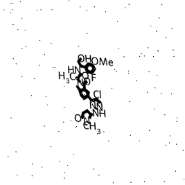 COc1cc(F)cc(C(CO)NC(=O)C(C)N2Cc3ccc(-c4nc(NC5CCC(=O)N(C)C5)ncc4Cl)cc3C2=O)c1